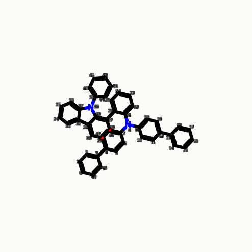 c1ccc(-c2ccc(N(c3ccc(-c4ccccc4)cc3)c3ccccc3-c3cccc4c5ccccc5n(-c5ccccc5)c34)cc2)cc1